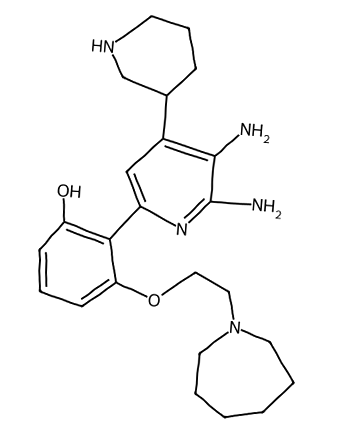 Nc1nc(-c2c(O)cccc2OCCN2CCCCCC2)cc(C2CCCNC2)c1N